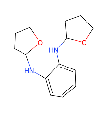 c1ccc(NC2CCCO2)c(NC2CCCO2)c1